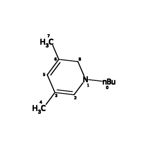 CCCCN1C=C(C)C=C(C)C1